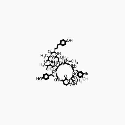 CC(C)[C@H](NC(=O)[C@@H](C)NC(=O)[C@H](CCCc1ccc(O)cc1)NC(=O)[C@H](O)CO)C(=O)N[C@@H]1C(=O)N[C@@H](CCc2ccc(O)cc2)C(=O)N[C@H]2CC[C@@H](O)N(C2=O)[C@@H]([C@@H](C)O)C(=O)N(C)[C@@H](Cc2ccc(O)c(Br)c2)C(=O)N[C@@H](C(C)C)C(=O)O[C@@H]1C